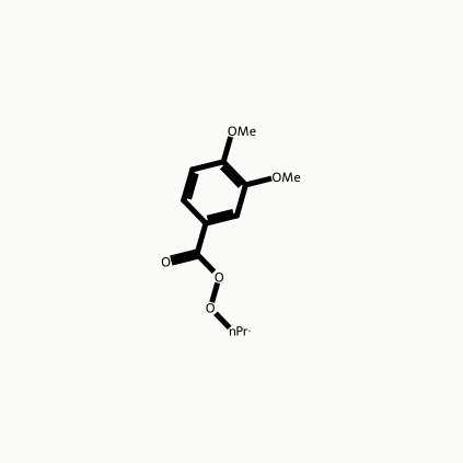 [CH2]C[CH]OOC(=O)c1ccc(OC)c(OC)c1